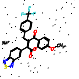 COc1ccc(C(=O)C(Cc2ccc(C(F)(F)F)cc2)=C(C(=O)[O-])c2ccc3nsnc3c2)cc1.[Na+]